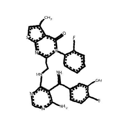 Cc1csc2nc(CNc3ncnc(N)c3C(=N)c3ccc(F)c(O)c3)n(-c3ccccc3F)c(=O)c12